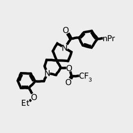 CCCc1ccc(C(=O)N2CCC3(CCN(Cc4ccccc4OCC)CC3OC(=O)C(F)(F)F)CC2)cc1